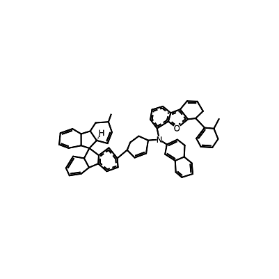 CC1C=C[C@@H]2C(C1)C1C=CC=CC1C21c2cc(C3C=CC(N(C4=CCC5C=CC=CC5=C4)c4cccc5c6c(oc45)C(C4=CC=CCC4C)CC=C6)CC3)ccc2C2C=CC=CC21